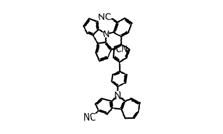 N#Cc1ccc2c(c1)c1c(n2-c2ccc(-c3ccc(-c4cccc(C#N)c4-n4c5ccccc5c5cccc(C#N)c54)cc3)cc2)C=CC=CC1